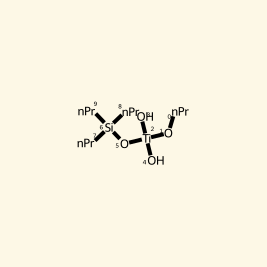 CCC[O][Ti]([OH])([OH])[O][Si](CCC)(CCC)CCC